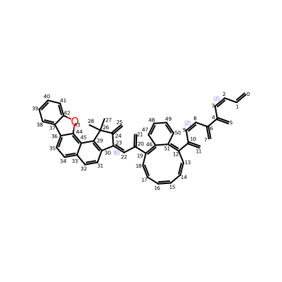 C=C/C=C\C(=C)C(=C)/C=C\C(=C)c1ccccccc(C(=C)/C=C2\C(=C)C(C)(C)c3c2ccc2ccc4c5ccccc5oc4c32)c2ccccc12